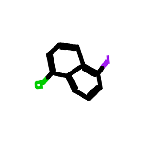 Clc1cccc2c(I)cccc12